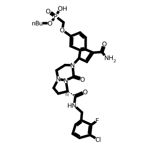 CCCCOP(=O)(O)COc1ccc2c(c1)C(N1CCN3CC[C@@H](C(=O)NCc4cccc(Cl)c4F)N3C1=O)C=C2C(N)=O